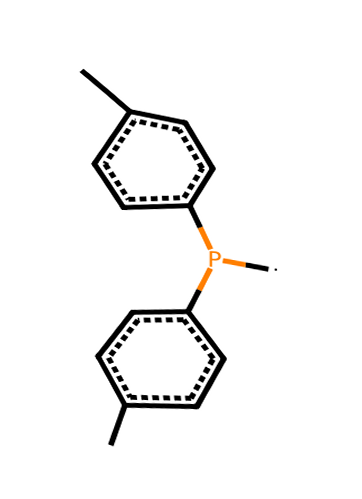 [CH2]P(c1ccc(C)cc1)c1ccc(C)cc1